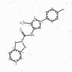 Cc1ccc(-n2cc(NC(=O)N3Cc4ccncc4C3)c(N)n2)cc1